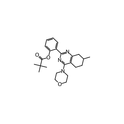 CC1CCc2c(nc(-c3ccccc3OC(=O)C(C)(C)C)nc2N2CCOCC2)C1